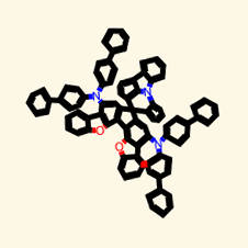 c1ccc(-c2ccc(N(c3ccc(-c4ccccc4)cc3)c3cc4c(c5oc6ccccc6c35)-c3c(cc(N(c5ccc(-c6ccccc6)cc5)c5ccc(-c6ccccc6)cc5)c5c3oc3ccccc35)C43c4ccccc4-n4c5ccccc5c5cccc3c54)cc2)cc1